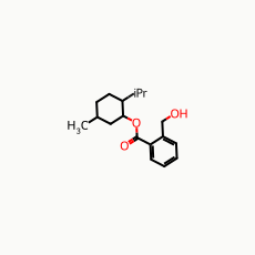 CC1CCC(C(C)C)C(OC(=O)c2ccccc2CO)C1